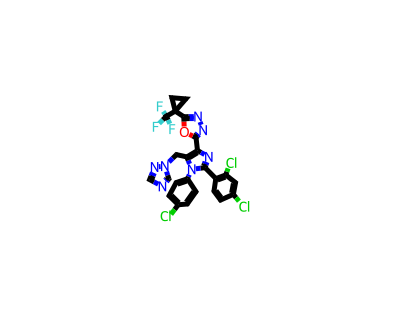 FC(F)(F)C1(c2nnc(-c3nc(-c4ccc(Cl)cc4Cl)n(-c4ccc(Cl)cc4)c3Cn3cncn3)o2)CC1